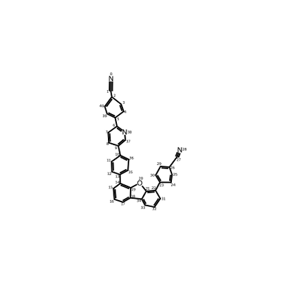 N#Cc1ccc(-c2ccc(-c3ccc(-c4cccc5c4oc4c(-c6ccc(C#N)cc6)cccc45)cc3)cn2)cc1